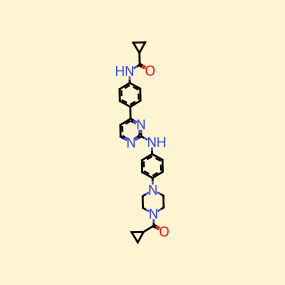 O=C(Nc1ccc(-c2ccnc(Nc3ccc(N4CCN(C(=O)C5CC5)CC4)cc3)n2)cc1)C1CC1